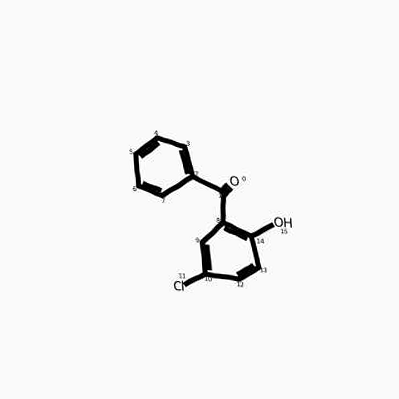 O=C(c1ccccc1)c1cc(Cl)[c]cc1O